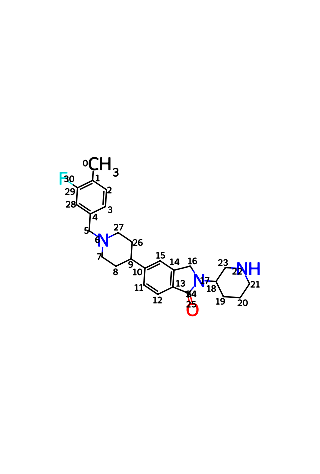 Cc1ccc(CN2CCC(c3ccc4c(c3)CN(C3CCCNC3)C4=O)CC2)cc1F